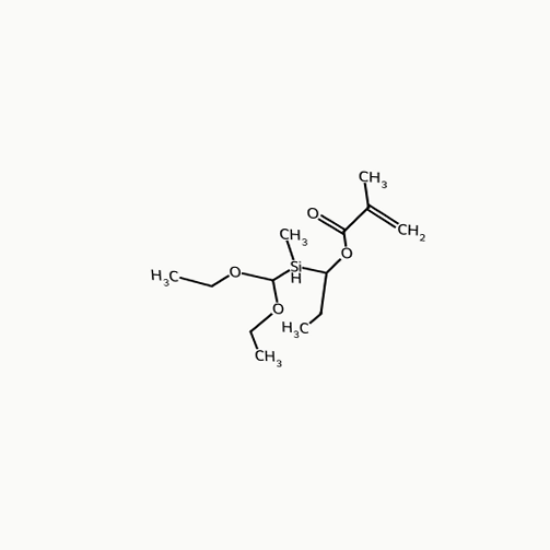 C=C(C)C(=O)OC(CC)[SiH](C)C(OCC)OCC